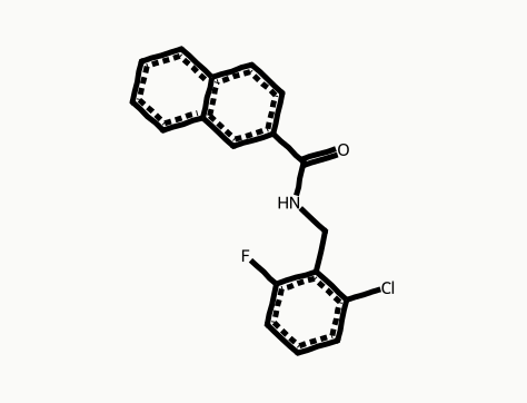 O=C(NCc1c(F)cccc1Cl)c1ccc2ccccc2c1